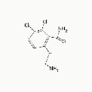 NC[CH]c1ccc(Cl)c(Cl)c1C(N)=O